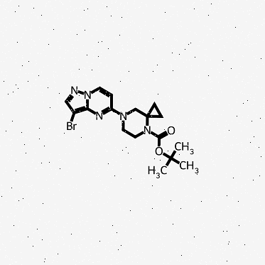 CC(C)(C)OC(=O)N1CCN(c2ccn3ncc(Br)c3n2)CC12CC2